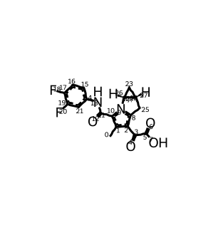 Cc1c(C(=O)C(=O)O)c2n(c1C(=O)Nc1ccc(F)c(F)c1)[C@@H]1C[C@@H]1C2